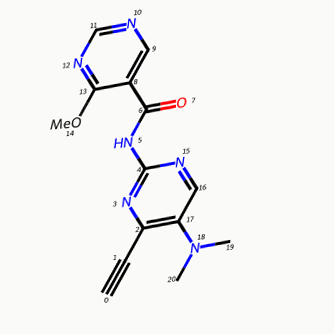 C#Cc1nc(NC(=O)c2cncnc2OC)ncc1N(C)C